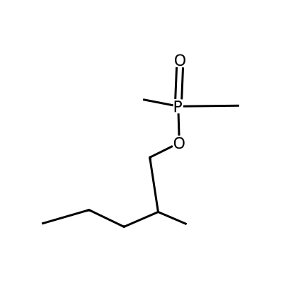 CCCC(C)COP(C)(C)=O